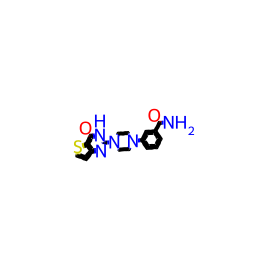 NC(=O)c1cccc(N2CCN(c3nc4ccsc4c(=O)[nH]3)CC2)c1